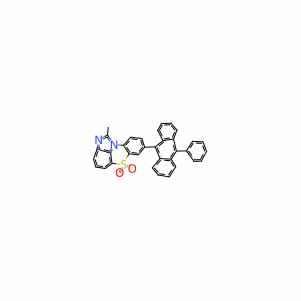 Cc1nc2cccc3c2n1-c1ccc(-c2c4ccccc4c(-c4ccccc4)c4ccccc24)cc1S3(=O)=O